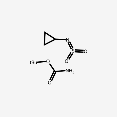 CC(C)(C)OC(N)=O.O=S(=O)=NC1CC1